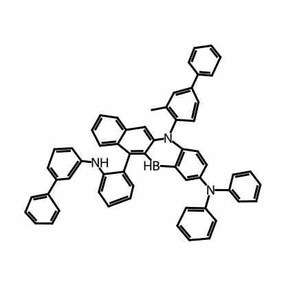 Cc1cc(-c2ccccc2)ccc1N1c2ccc(N(c3ccccc3)c3ccccc3)cc2Bc2c1cc1ccccc1c2-c1ccccc1Nc1cccc(-c2ccccc2)c1